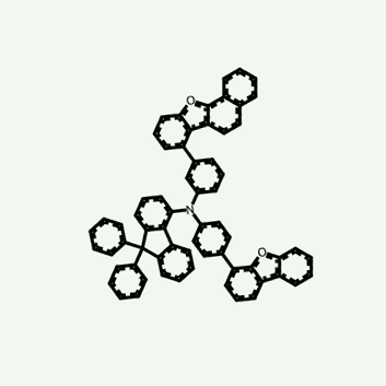 c1ccc(C2(c3ccccc3)c3ccccc3-c3c(N(c4ccc(-c5cccc6c5oc5ccccc56)cc4)c4cccc(-c5cccc6oc7c8ccccc8ccc7c56)c4)cccc32)cc1